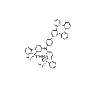 CC1(C)c2ccccc2-c2ccc(N(c3ccc(-c4ccc5c(c4)-c4ccccc4-c4ccccc4-c4ccccc4-5)cc3)c3ccc4c(c3)C(C)(C)c3ccccc3-4)cc21